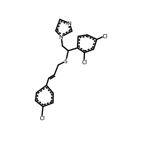 Clc1ccc(C=CCSC(Cn2ccnc2)c2ccc(Cl)cc2Cl)cc1